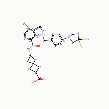 O=C(NC1CC2(C1)CC(C(=O)O)C2)c1ccc(Cl)c2cnn(Cc3ccc(N4CCC(F)(F)C4)cc3)c12